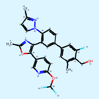 Cc1nc(-c2cc(-c3cc(C)c(CO)c(F)c3)ccc2-n2ccc(C(F)(F)F)n2)c(-c2ccc(OC(F)F)nc2)o1